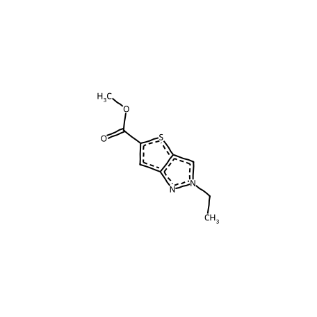 CCn1cc2sc(C(=O)OC)cc2n1